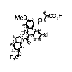 COc1cc(COCC(C)C(=O)O)cc(NC(C(=O)N2CCc3ccc(OC(F)(F)F)cc32)c2ccc(Cl)cc2)c1